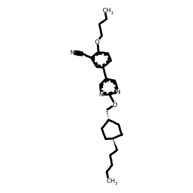 CCCCC[C@H]1CC[C@H](COc2ncc(-c3ccc(OCCCC)c(C#N)c3)cn2)CC1